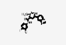 CN1SNC(c2ccc3scnc3c2)CC1C(=O)Nc1ccc(F)c(Cl)c1